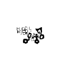 CC(C)(C)OC(=O)N1CCN(C(=O)c2ncn([C@H]3CCCC[C@H]3N(CC3CC3)CC3CC3)c2-c2ccccc2)[C@H](Cc2ccccc2)C1